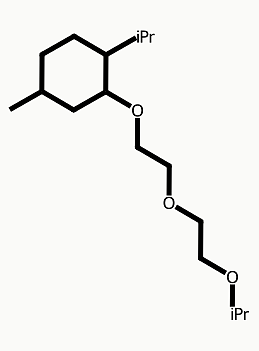 CC1CCC(C(C)C)C(OCCOCCOC(C)C)C1